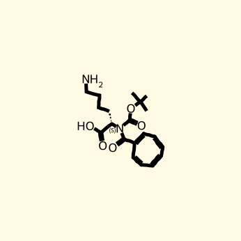 CC(C)(C)OC(=O)N(C(=O)C1=CC=CC=CC=C1)[C@@H](CCCCN)C(=O)O